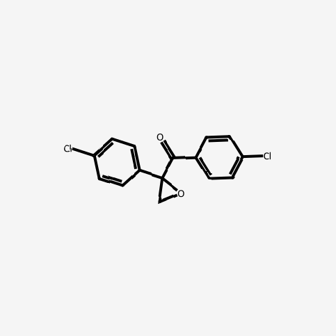 O=C(c1ccc(Cl)cc1)C1(c2ccc(Cl)cc2)CO1